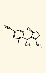 N#Cc1ccc([C@H](N)C2=C(N)CCC2=O)c(F)c1